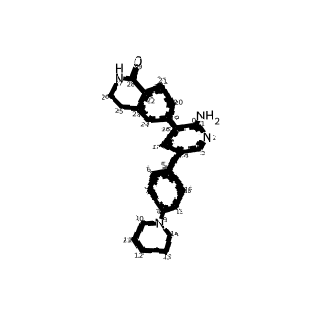 Nc1ncc(-c2ccc(N3CCCCC3)cc2)cc1-c1ccc2c(c1)CCNC2=O